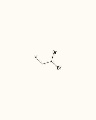 FCC(Br)Br